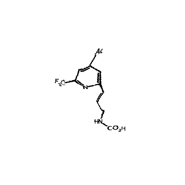 CC(=O)c1cc(/C=C/CNC(=O)O)nc(C(F)(F)F)c1